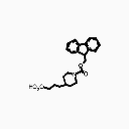 O=C(O)CCCC1CCN(C(=O)OCC2c3ccccc3-c3ccccc32)CC1